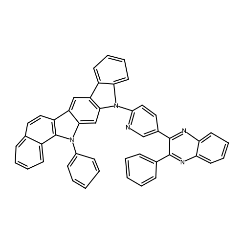 c1ccc(-c2nc3ccccc3nc2-c2ccc(-n3c4ccccc4c4cc5c6ccc7ccccc7c6n(-c6ccccc6)c5cc43)nc2)cc1